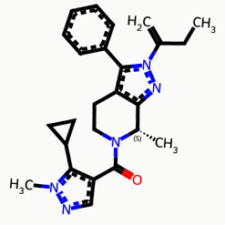 C=C(CC)n1nc2c(c1-c1ccccc1)CCN(C(=O)c1cnn(C)c1C1CC1)[C@H]2C